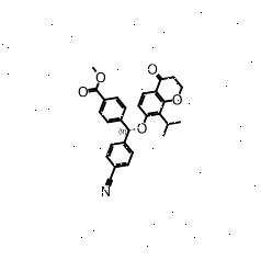 COC(=O)c1ccc([C@H](Oc2ccc3c(c2C(C)C)OCCC3=O)c2ccc(C#N)cc2)cc1